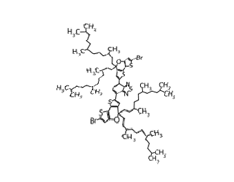 CC(C)CCCC(C)CCCC(C)CCC1(CCC(C)CCCC(C)CCCC(C)C)Oc2cc(Br)sc2-c2sc(-c3ccc(-c4cc5c(s4)-c4sc(Br)cc4OC5(CCC(C)CCCC(C)CCCC(C)C)CCC(C)CCCC(C)CCCC(C)C)c4nsnc34)cc21